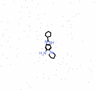 Nc1cc2nc(C3CCCCC3)[nH]c2cc1N1CCCCC1